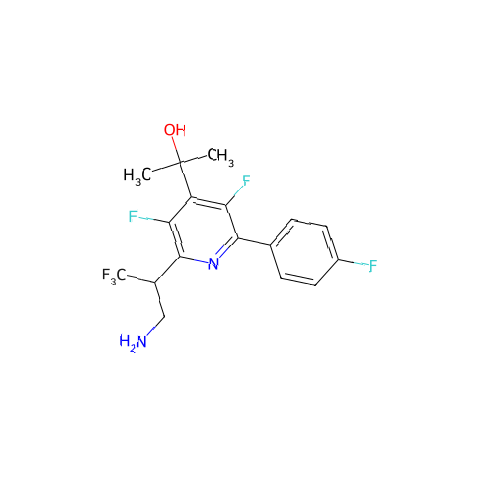 CC(C)(O)c1c(F)c(-c2ccc(F)cc2)nc(C(CN)C(F)(F)F)c1F